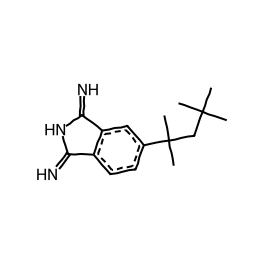 CC(C)(C)CC(C)(C)c1ccc2c(c1)C(=N)NC2=N